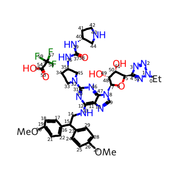 CCn1nnc([C@H]2O[C@@H](n3cnc4c(NCC(c5ccc(OC)cc5)c5ccc(OC)cc5)nc(N5CC[C@@H](NC(=O)N[C@@H]6CCNC6)C5)nc43)[C@H](O)[C@@H]2O)n1.O=C(O)C(F)(F)F